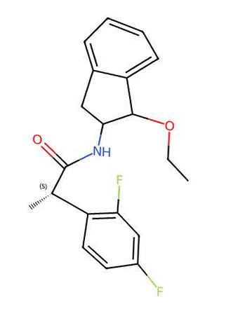 CCOC1c2ccccc2CC1NC(=O)[C@@H](C)c1ccc(F)cc1F